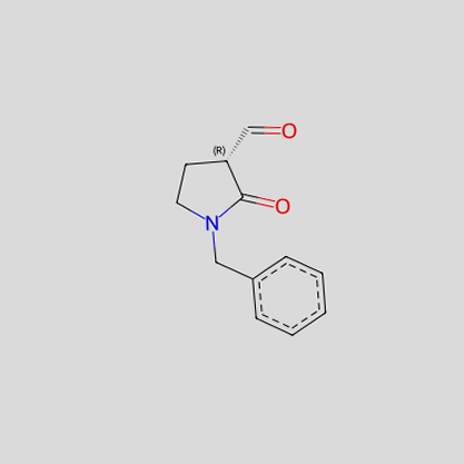 O=C[C@H]1CCN(Cc2ccccc2)C1=O